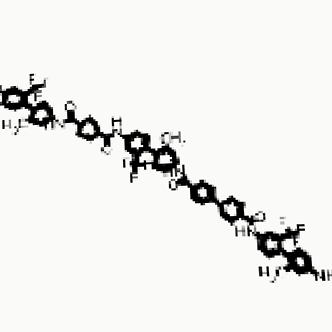 Cc1cc(NC(=O)c2ccc(C(=O)Nc3ccc(-c4ccc(NC(=O)c5ccc(-c6ccc(C(=O)Nc7ccc(-c8ccc(N)cc8C)c(C(F)(F)F)c7)cc6)cc5)cc4C)c(C(F)(F)F)c3)cc2)ccc1-c1ccc(N)cc1C(F)(F)F